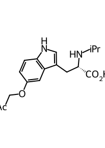 CC(=O)COc1ccc2[nH]cc(C[C@H](NC(C)C)C(=O)O)c2c1